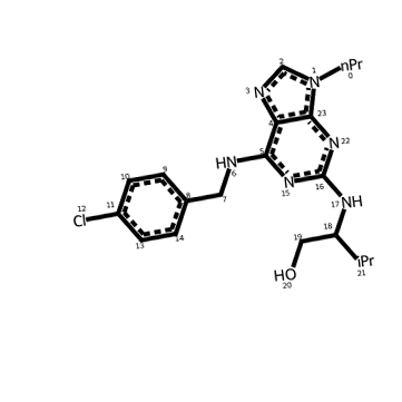 CCCn1cnc2c(NCc3ccc(Cl)cc3)nc(NC(CO)C(C)C)nc21